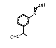 CC(C=O)c1cccc(/N=N/O)c1